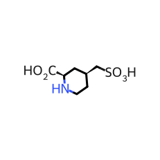 O=C(O)[C@H]1C[C@@H](CS(=O)(=O)O)CCN1